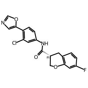 O=C(Nc1ccc(-c2cnco2)c(Cl)c1)[C@H]1COc2cc(F)ccc2C1